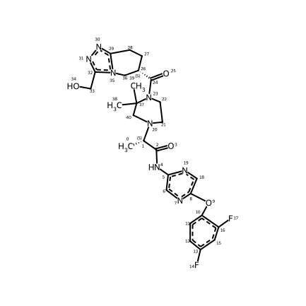 C[C@@H](C(=O)Nc1cnc(Oc2ccc(F)cc2F)cn1)N1CCN(C(=O)[C@H]2CCc3nnc(CO)n3C2)C(C)(C)C1